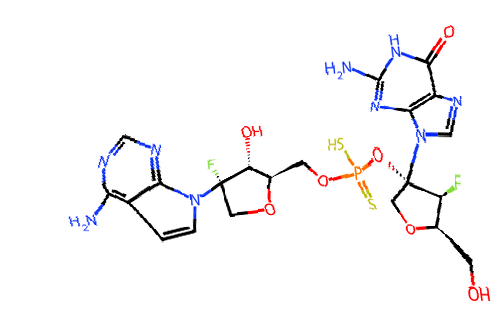 Nc1nc2c(ncn2[C@]2(OP(=S)(S)OC[C@H]3OC[C@@](F)(n4ccc5c(N)ncnc54)[C@@H]3O)CO[C@H](CO)[C@@H]2F)c(=O)[nH]1